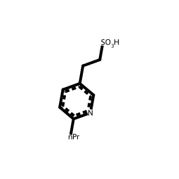 CCCc1ccc(CCS(=O)(=O)O)cn1